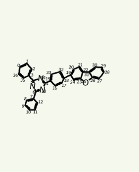 c1ccc(-c2nc(-c3ccccc3)nc(-c3ccc(-c4ccc5c(c4)oc4ccccc45)cc3)n2)cc1